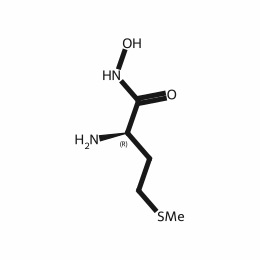 CSCC[C@@H](N)C(=O)NO